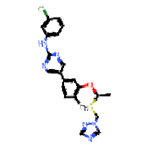 C[C@H](Oc1cc(-c2cnc(Nc3cccc(Cl)c3)nc2)ccc1C#N)SCn1cncn1